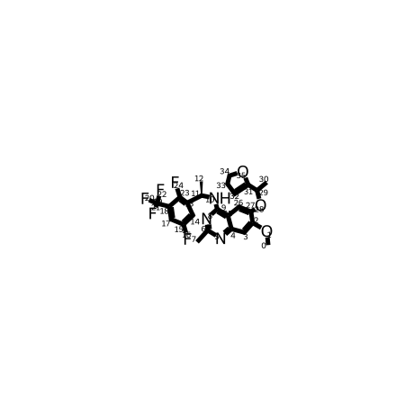 COc1cc2nc(C)nc(N[C@H](C)c3cc(F)cc(C(F)(F)F)c3F)c2cc1OC(C)C1=CCCO1